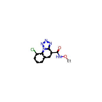 CCONC(=O)c1cc2cccc(Cl)c2n2nnnc12